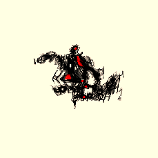 CN[C@H](CC(C)C)C(=O)N[C@H]1C(=O)N[C@@H](CC(=O)NC(=O)Nc2ccc(OC)cc2)C(=O)N[C@H]2C(=O)N[C@H]3C(=O)N[C@H](C(=O)N[C@H](C(=O)NC4C5CC6CC(C5)CC4C6)c4cc(O)c(CNCCCCCCNS(C)(=O)=O)c(O)c4-c4cc3ccc4O)[C@H](O)c3ccc(c(Cl)c3)Oc3cc2cc(c3O[C@@H]2O[C@H](CO)[C@@H](O)[C@H](O)[C@H]2O[C@H]2C[C@](C)(N)[C@H](O)[C@H](C)O2)Oc2ccc(cc2C)[C@H]1O